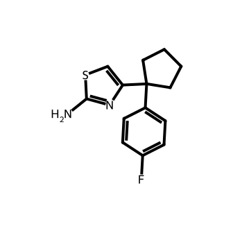 Nc1nc(C2(c3ccc(F)cc3)CCCC2)cs1